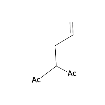 C=CCC(C(C)=O)C(C)=O